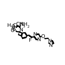 CC1(C)C(N)=N[C@@]2(Cc3ccc(/C=C(\F)c4cnc(OCCn5ccnc5)cn4)cc32)CS1(=O)=O